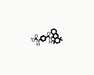 COC(=O)Nc1ccc(C(=O)Nc2c3c(cc4c2C(C)(C)CCC4(C)C)CCCC3)cc1